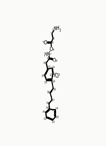 Cl.NCCC(=O)ONC(=O)Cc1ccc(CCCCc2ccccc2)cc1